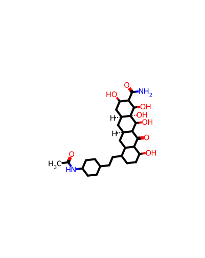 CC(=O)NC1CCC(CCC2CCC(O)C3C(=O)C4C(O)[C@]5(O)C(O)C(C(N)=O)C(O)C[C@@H]5C[C@@H]4CC23)CC1